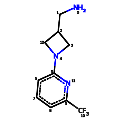 NCC1CN(c2cccc(C(F)(F)F)n2)C1